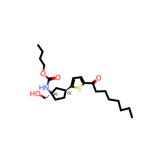 CCCCCCCC(=O)c1ccc([C@H]2CC[C@@](CO)(NC(=O)OCCCC)C2)s1